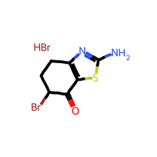 Br.Nc1nc2c(s1)C(=O)C(Br)CC2